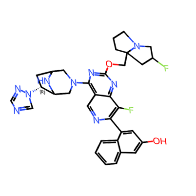 Oc1cc(-c2ncc3c(N4CC5C[C@@H](n6cncn6)C(C4)N5)nc(OCC45CCCN4CC(F)C5)nc3c2F)c2ccccc2c1